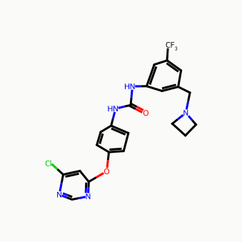 O=C(Nc1ccc(Oc2cc(Cl)ncn2)cc1)Nc1cc(CN2CCC2)cc(C(F)(F)F)c1